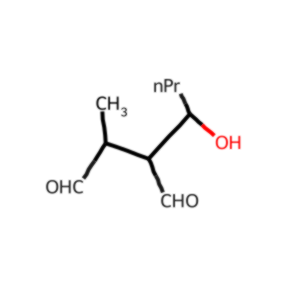 CCCC(O)C(C=O)C(C)C=O